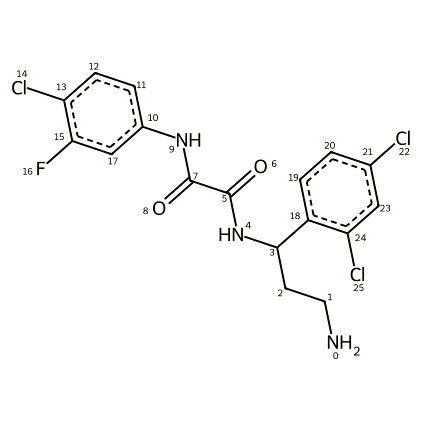 NCCC(NC(=O)C(=O)Nc1ccc(Cl)c(F)c1)c1ccc(Cl)cc1Cl